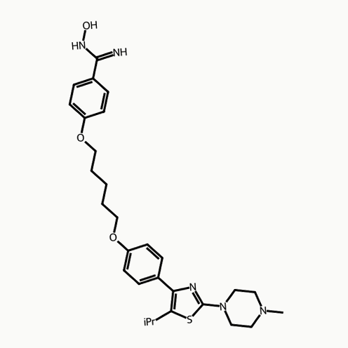 CC(C)c1sc(N2CCN(C)CC2)nc1-c1ccc(OCCCCCOc2ccc(C(=N)NO)cc2)cc1